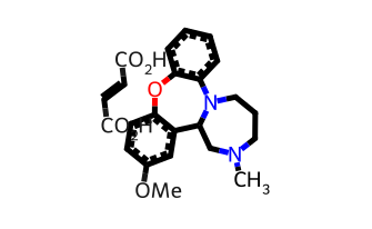 COc1ccc2c(c1)C1CN(C)CCCN1c1ccccc1O2.O=C(O)C=CC(=O)O